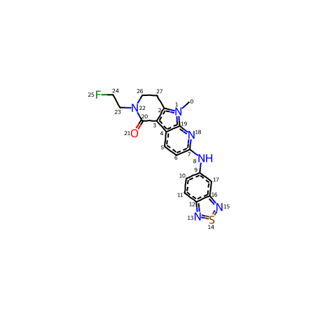 Cn1c2c(c3ccc(Nc4ccc5nsnc5c4)nc31)C(=O)N(CCF)CC2